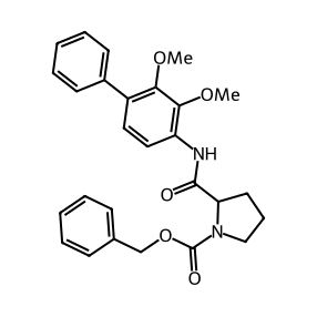 COc1c(NC(=O)C2CCCN2C(=O)OCc2ccccc2)ccc(-c2ccccc2)c1OC